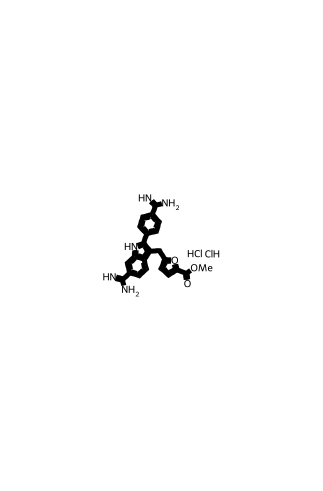 COC(=O)c1ccc(Cc2c(-c3ccc(C(=N)N)cc3)[nH]c3cc(C(=N)N)ccc23)o1.Cl.Cl